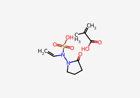 C=C(C)C(=O)O.C=CN(N1CCCC1=O)S(=O)(=O)O